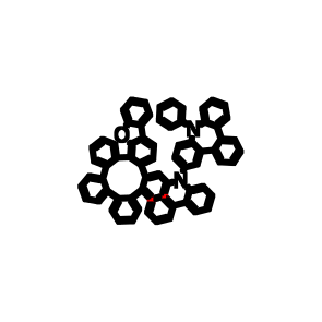 c1ccc(-c2ccccc2N(c2ccc3c(c2)-c2ccccc2-c2ccccc2N3c2ccccc2)c2ccc3c4ccccc4c4ccccc4c4ccccc4c4c(ccc5c6ccccc6oc54)c3c2)cc1